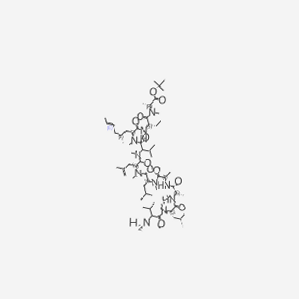 C/C=C/C[C@@H](C)C[C@@H](C(=O)N[C@@H](CC)C(=O)N(C)[C@H](C)C(=O)OC(C)(C)C)N(C)C(=O)C(C(C)C)N(C)C(=O)[C@H](CC(C)C)N(C)C(=O)[C@H](CC(C)C)N(C)C(=O)[C@@H](C)NC(=O)[C@H](C)NC(=O)[C@H](CC(C)C)N(C)C(=O)C(N)C(C)C